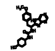 COc1ccc(CC(NC(=O)NC2CCC(O)CC2)c2nc3ncncc3[nH]2)cc1